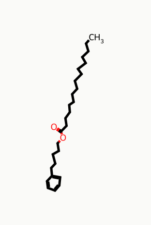 CCCCCCCCCCCCCCCC(=O)OCCCCCc1ccccc1